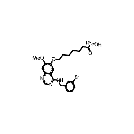 COc1cc2ncnc(NCc3cccc(Br)c3)c2cc1OCCCCCCC(=O)NO